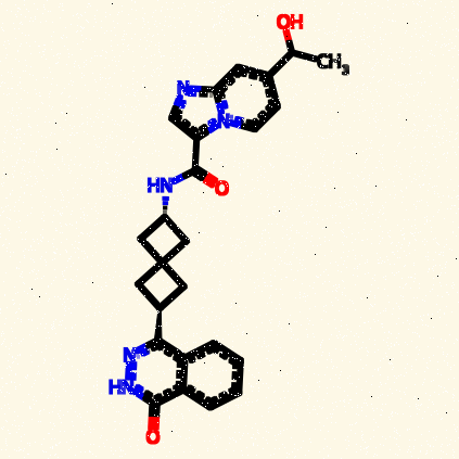 CC(O)c1ccn2c(C(=O)N[C@H]3CC4(C3)C[C@H](c3n[nH]c(=O)c5ccccc53)C4)cnc2c1